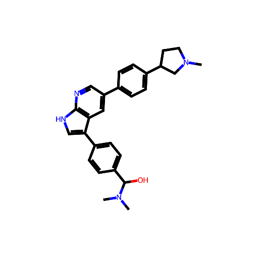 CN1CCC(c2ccc(-c3cnc4[nH]cc(-c5ccc(C(O)N(C)C)cc5)c4c3)cc2)C1